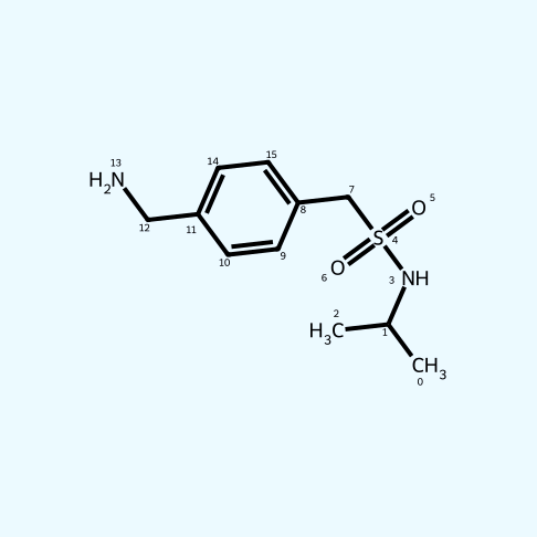 CC(C)NS(=O)(=O)Cc1ccc(CN)cc1